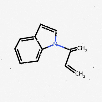 C=CC(=C)n1ccc2ccccc21